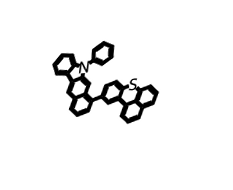 c1ccc(-n2c3ccccc3c3cc4cccc(-c5ccc6c(c5)-c5cccc7cccc(c57)S6)c4cc32)cc1